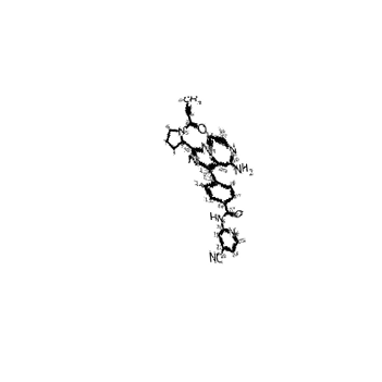 CC#CC(=O)N1CCCC1c1nc(-c2ccc(C(=O)Nc3cc(C#N)ccn3)cc2)c2c(N)nccn12